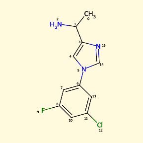 CC(N)c1cn(-c2cc(F)cc(Cl)c2)cn1